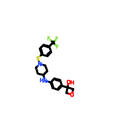 OC1(c2ccc(NC3CCN(Sc4ccc(C(F)(F)F)cc4)CC3)cc2)COC1